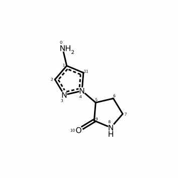 Nc1cnn(C2CCNC2=O)c1